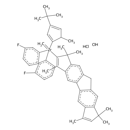 Cl.Cl.[CH2]=[Zr]([C]1=CC(C(C)(C)C)=CC1C)([C]1=C(C)c2cc3c(cc2C1(C)C)Cc1cc2c(cc1-3)C(C)=CC2(C)C)([c]1cccc(F)c1)[c]1cccc(F)c1